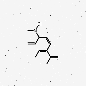 C=CC(/C=C\C(=C\C)C(=C)C)N(C)Cl